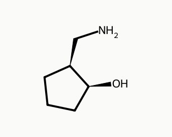 NC[C@@H]1CCC[C@@H]1O